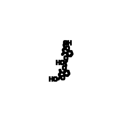 C=C1C=C(CO)Oc2cccc(OCC(O)COc3cccc4c3C(=C)C=C(CO)O4)c21